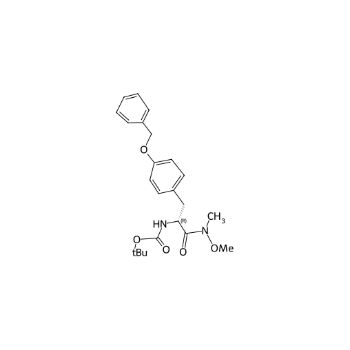 CON(C)C(=O)[C@@H](Cc1ccc(OCc2ccccc2)cc1)NC(=O)OC(C)(C)C